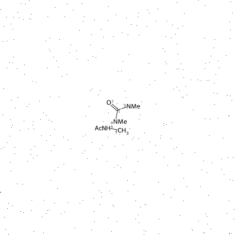 CNC(=O)NC.CNC(C)=O